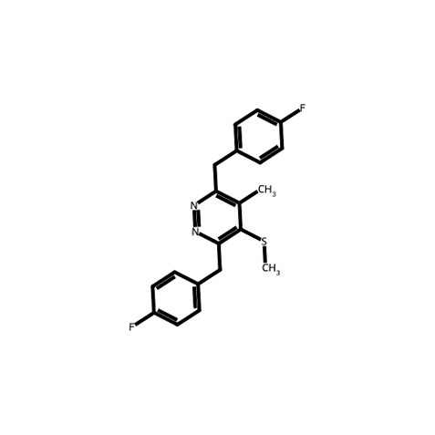 CSc1c(Cc2ccc(F)cc2)nnc(Cc2ccc(F)cc2)c1C